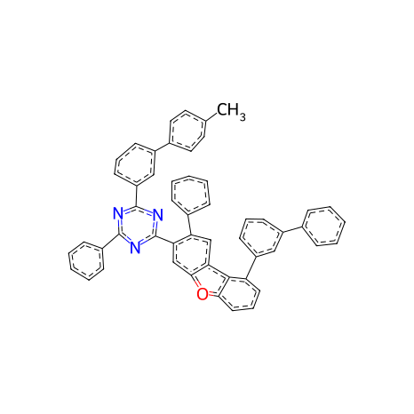 Cc1ccc(-c2cccc(-c3nc(-c4ccccc4)nc(-c4cc5oc6cccc(-c7cccc(-c8ccccc8)c7)c6c5cc4-c4ccccc4)n3)c2)cc1